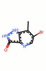 Cc1c(Br)cnc2c(=O)[nH][nH]c12